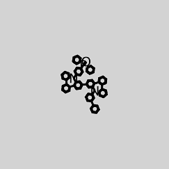 O=P(c1ccccc1)(c1ccccc1)c1ccc(N2c3ccccc3-c3ccccc3-c3ccc(-c4ccc5c(c4)N(c4cccc(-c6ccccc6)c4)c4ccccc4-c4ccccc4-5)cc32)cc1